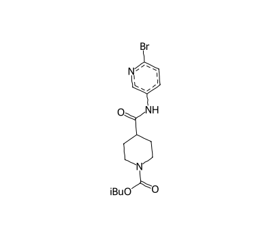 CC(C)COC(=O)N1CCC(C(=O)Nc2ccc(Br)nc2)CC1